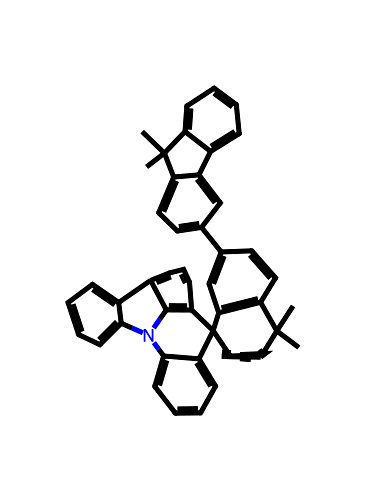 CC1(C)c2ccccc2-c2cc(-c3ccc4c(c3)C3(c5ccccc5-n5c6ccccc6c6cccc3c65)c3ccccc3C4(C)C)ccc21